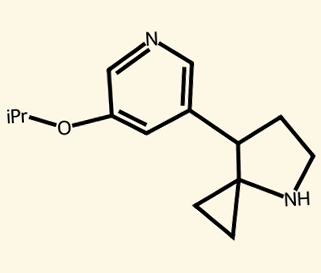 CC(C)Oc1cncc(C2CCNC23CC3)c1